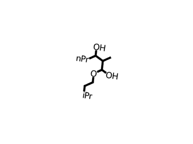 CCCC(O)C(C)C(O)OCCC(C)C